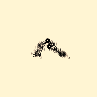 O.O.O=C(O)c1ccccc1.O=C1NS(=O)(=O)c2ccccc21.O=P(O)(O)F.O=P(O)(O)O.O=P(O)(O)OP(=O)(O)O.[CaH2].[CaH2].[NaH].[NaH].[NaH].[NaH].[NaH].[NaH].[NaH]